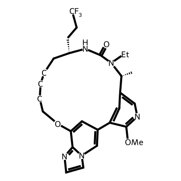 CCN1C(=O)N[C@@H](CCC(F)(F)F)CCCCCOc2cc(cn3ccnc23)-c2cc(cnc2OC)[C@H]1C